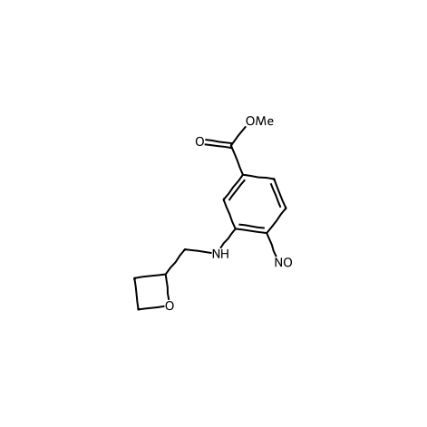 COC(=O)c1ccc(N=O)c(NCC2CCO2)c1